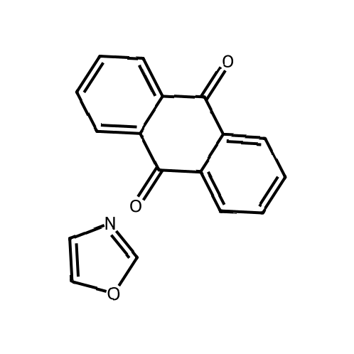 O=C1c2ccccc2C(=O)c2ccccc21.c1cocn1